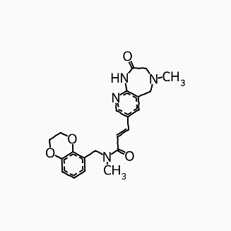 CN1CC(=O)Nc2ncc(C=CC(=O)N(C)Cc3cccc4c3OCCO4)cc2C1